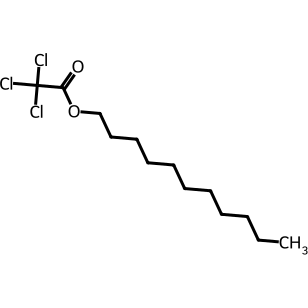 CCCCCCCCCCCOC(=O)C(Cl)(Cl)Cl